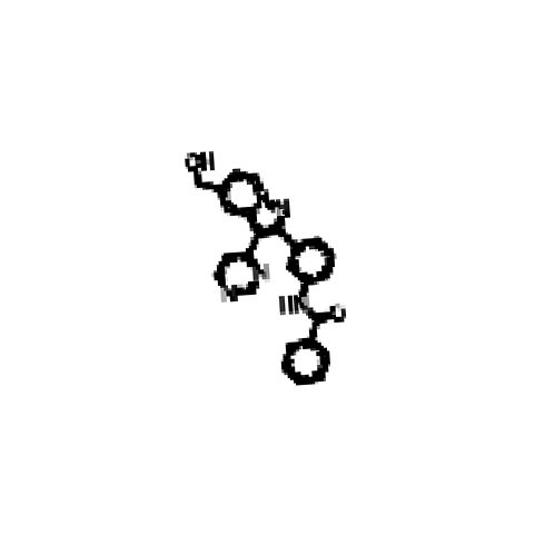 O=C(Nc1cccc(-c2nn3ccc(CO)cc3c2-c2ccncn2)c1)c1ccccc1